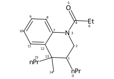 CCCC1CN(C(=O)CC)c2ccccc2C1(C)CCC